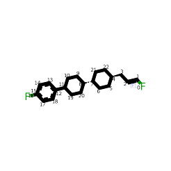 F/C=C/C[C@H]1CC[C@H](C2CCC(c3ccc(F)cc3)CC2)CC1